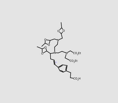 CCOC(=O)CN(CCN(CCN(CC1OC(C)O1)CC1OC(C)O1)C(C/C=C/c1ccc(CCC(=O)O)cc1)C1OC(C)O1)CC(=O)OCC